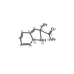 CCCC(=O)C1(C(C)C)C=C2C=CC=CN2N1